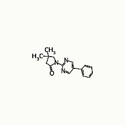 CC1(C)CC(=O)N(c2ncc(-c3ccccc3)cn2)C1